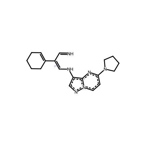 N=C/C(=C\Nc1cnn2ccc(N3CCCC3)nc12)C1=CCCCC1